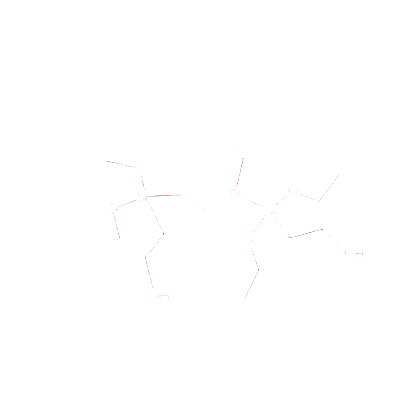 CCO[Si](CCO)(OCC)OCC.CO[Si](CCO)(OC)OC